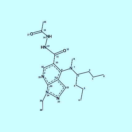 CCCC(CCC)N(C)c1c(C(=O)NNC(C)=O)cnc2c1cnn2CC